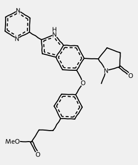 COC(=O)CCc1ccc(Oc2cc3cc(-c4cnccn4)[nH]c3cc2C2CCC(=O)N2C)cc1